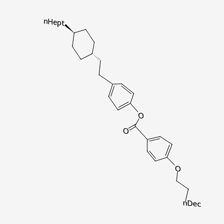 CCCCCCCCCCCCOc1ccc(C(=O)Oc2ccc(CC[C@H]3CC[C@H](CCCCCCC)CC3)cc2)cc1